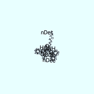 CCCCCCCCCCCCCCCCCC(=O)N[C@@H](CO[Si](c1ccccc1)(c1ccccc1)C(C)(C)C)[C@H](O)[C@@H](CCCCCCCCCCCCCC)OC(=O)c1ccccc1